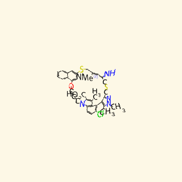 CN/C1=C\C(=N)CSCc2nn(C)c(C)c2-c2c(Cl)ccc3c2c(C)c(C(=O)O)n3CCCOc2cc(cc3ccccc23)SC1